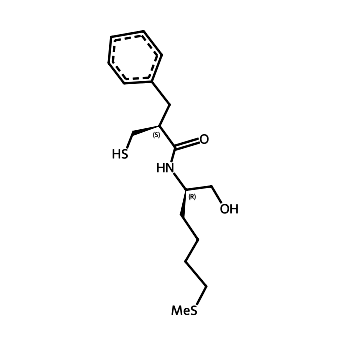 CSCCCC[C@H](CO)NC(=O)[C@@H](CS)Cc1ccccc1